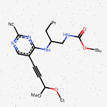 CCOC(C#Cc1cnc(C#N)nc1NC(CNC(=O)OC(C)(C)C)CC(C)C)OC